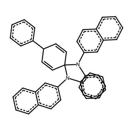 C1=CC(N(c2ccccc2)c2ccc3ccccc3c2)(N(c2ccccc2)c2ccc3ccccc3c2)C=CC1c1ccccc1